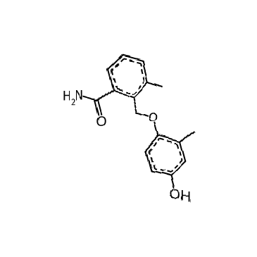 Cc1cc(O)ccc1OCc1c(C)cccc1C(N)=O